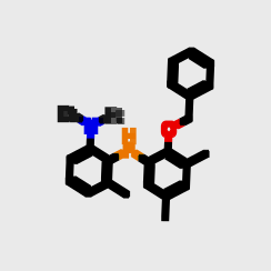 CCN(CC)c1cccc(C)c1Pc1cc(C)cc(C)c1OCc1ccccc1